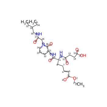 CCOC(=O)C=CCCC(NC(=O)CCC(=O)O)C(=O)Nc1cccn(CC(=O)NCC(CC)CC)c1=O